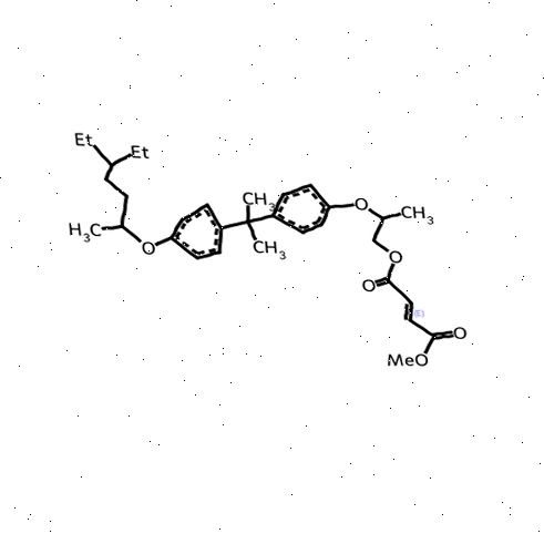 CCC(CC)CCC(C)Oc1ccc(C(C)(C)c2ccc(OC(C)COC(=O)/C=C/C(=O)OC)cc2)cc1